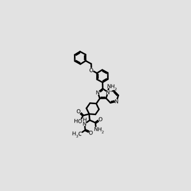 CC(=O)NC(C(N)=O)C1(C(=O)O)CCC(C2=C3C=NC=C[N+]3(N)C(c3cccc(OCc4ccccc4)c3)=N2)CC1